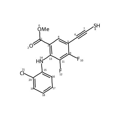 COC(=O)c1cc(C#CS)c(F)c(F)c1Nc1ccccc1Cl